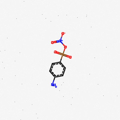 Nc1ccc(S(=O)(=O)O[N+](=O)[O-])cc1